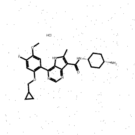 COc1cc(-c2ncnc3c(C(=O)N[C@H]4CC[C@@H](N)CC4)c(C)[nH]c23)c(OCC2CC2)cc1F.Cl